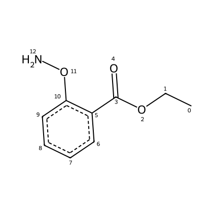 CCOC(=O)c1ccccc1ON